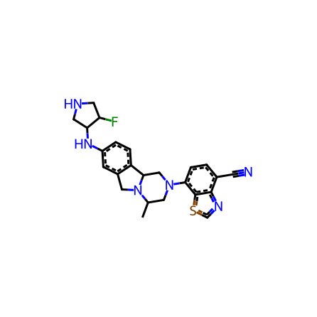 CC1CN(c2ccc(C#N)c3ncsc23)CC2c3ccc(NC4CNCC4F)cc3CN12